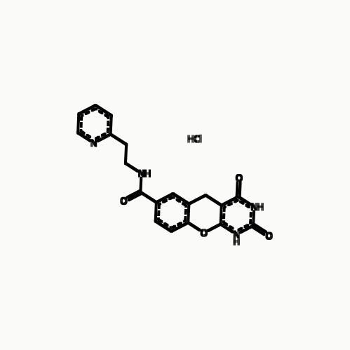 Cl.O=C(NCCc1ccccn1)c1ccc2c(c1)Cc1c([nH]c(=O)[nH]c1=O)O2